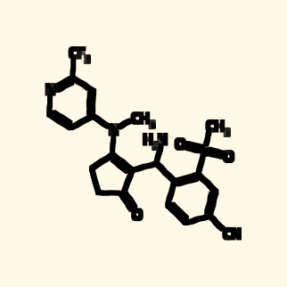 CN(C1=C(C(N)c2ccc(C#N)cc2S(C)(=O)=O)C(=O)CC1)c1ccnc(C(F)(F)F)c1